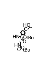 CC(O)COc1ccc(C(=N)N(CCNC(=O)OC(C)(C)C)C(=O)OC(C)(C)C)cc1